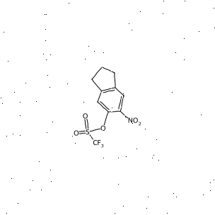 O=[N+]([O-])c1cc2c(cc1OS(=O)(=O)C(F)(F)F)CCC2